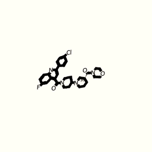 O=C(c1cc(-c2ccc(Cl)cc2)nc2ccc(F)cc12)N1CCC(N2CCC[C@@H](C(=O)N3CCOCC3)C2)CC1